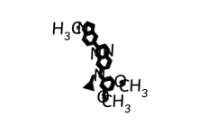 COc1cc(OC)cc(N(CC2CC2)c2ccc3ncc(-c4ccc5c(ccn5C)c4)nc3c2)c1